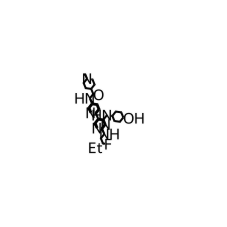 CCC(F)CNc1ncc(-c2ccc(NC(=O)C3CCN(C)CC3)cn2)c(NC2CCC(O)CC2)n1